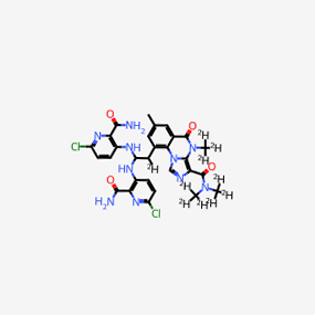 [2H]C(c1cc(C)cc2c(=O)n(C([2H])([2H])[2H])c3c(C(=O)N(C([2H])([2H])[2H])C([2H])([2H])[2H])ncn3c12)C(Nc1ccc(Cl)nc1C(N)=O)Nc1ccc(Cl)nc1C(N)=O